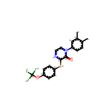 Cc1ccc(-n2ccnc(Sc3ccc(OC(F)(F)F)cc3)c2=O)cc1C